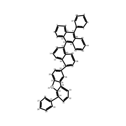 c1ccc(-c2c3ccccc3c(-c3cccc4c(-c5ccc6oc7c(-c8ccccc8)cccc7c6c5)cccc34)c3ccccc23)cc1